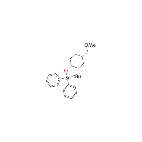 COC[C@H]1CC[C@@H](O[Si](c2ccccc2)(c2ccccc2)C(C)(C)C)CC1